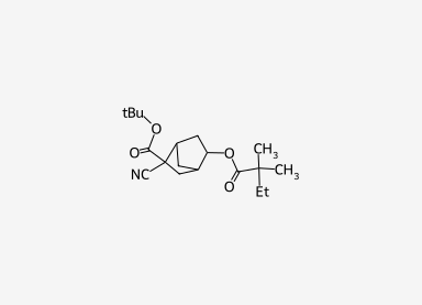 CCC(C)(C)C(=O)OC1CC2CC1CC2(C#N)C(=O)OC(C)(C)C